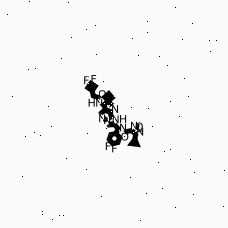 N#CC1([C@@H](NC(=O)CC2CC(F)(F)C2)c2cnn3cc([C@@H](NC(=O)c4nonc4C4CC4)C4CCC(F)(F)CC4)nc3c2)CCC1